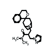 CN(C)C(=O)C(CN1C2CCC1CC1(C2)OCCc2ccccc21)Cn1cccn1